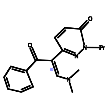 CC(C)n1nc(/C(=C\N(C)C)C(=O)c2ccccc2)ccc1=O